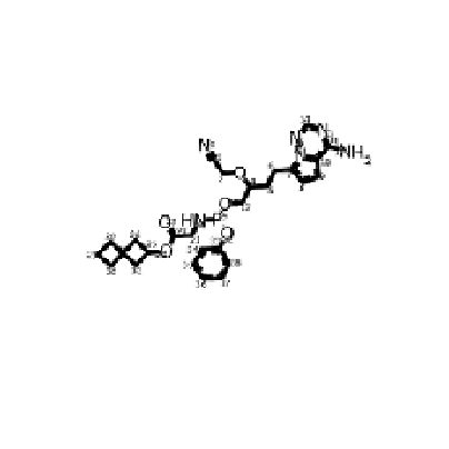 N#CCOC(CCc1ccc2c(N)ncnn12)COP(NCC(=O)OC1CC2(CCC2)C1)Oc1ccccc1